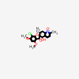 COc1cc(OC)c2c(c1Cl)O[C@]1(C2=O)C(O)c2ccc(C)[n+]([O-])c2C[C@H]1C